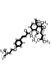 COC1C(OC(=O)/C=C/c2ccc(OCCN(C)C)cc2)CC[C@]2(CO2)C1C1(C)OC1CC=C(C)C